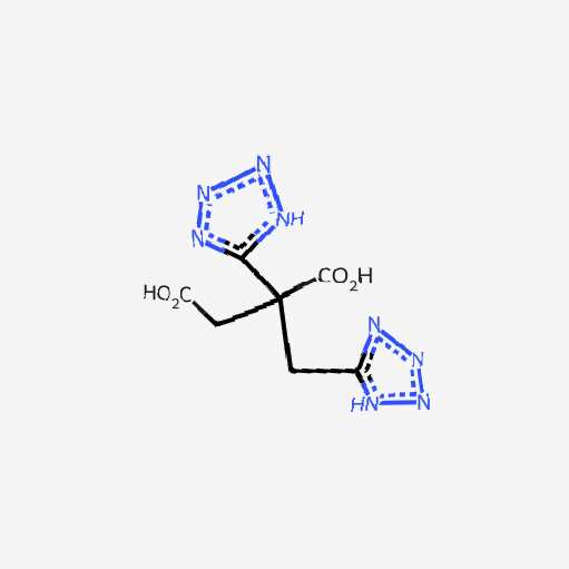 O=C(O)CC(Cc1nnn[nH]1)(C(=O)O)c1nnn[nH]1